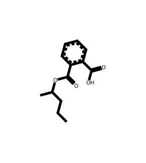 CCCC(C)OC(=O)c1ccccc1C(=O)O